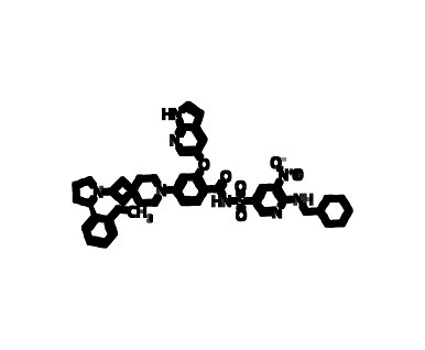 CCc1ccccc1[C@H]1CCCN1C1CC2(CCN(c3ccc(C(=O)NS(=O)(=O)c4cnc(NCC5CCCCC5)c([N+](=O)[O-])c4)c(Oc4cnc5[nH]ccc5c4)c3)CC2)C1